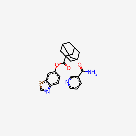 NC(=O)c1cccnc1.O=C(Oc1ccc2ncsc2c1)C12CC3CC(CC(C3)C1)C2